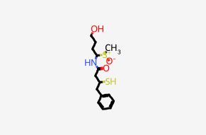 C[S+]([O-])C(CCCO)NC(=O)CC(S)Cc1ccccc1